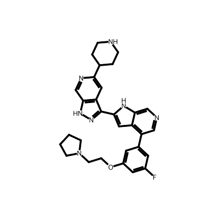 Fc1cc(OCCN2CCCC2)cc(-c2cncc3[nH]c(-c4n[nH]c5cnc(C6CCNCC6)cc45)cc23)c1